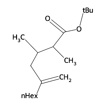 C=C(CCCCCC)CC(C)C(C)C(=O)OC(C)(C)C